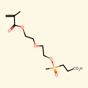 C=C(C)C(=O)OCCOCCOP(C)(=O)CCC(=O)O